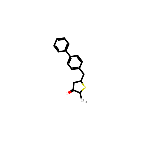 CC1SC(Cc2ccc(-c3ccccc3)cc2)CC1=O